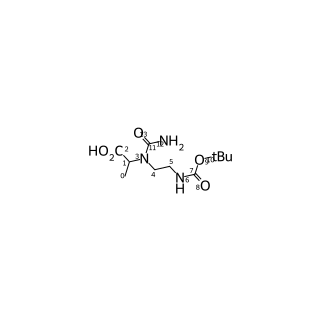 CC(C(=O)O)N(CCNC(=O)OC(C)(C)C)C(N)=O